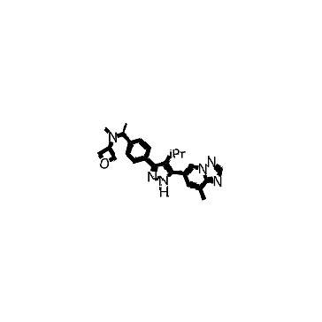 Cc1cc(-c2[nH]nc(-c3ccc([C@H](C)N(C)C4COC4)cc3)c2C(C)C)cn2ncnc12